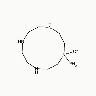 [O-][N+]1(P)CCNCCNCCNCC1